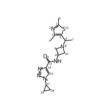 Cc1nc(C)c(C(C)N2CC(NC(=O)c3cn(C4CC4)nn3)C2)s1